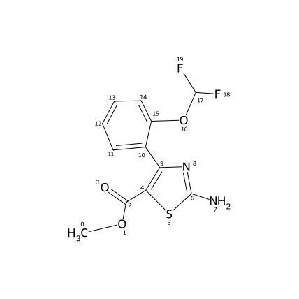 COC(=O)c1sc(N)nc1-c1ccccc1OC(F)F